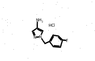 Cl.Nc1cnn(Cc2ccc(F)cc2)c1